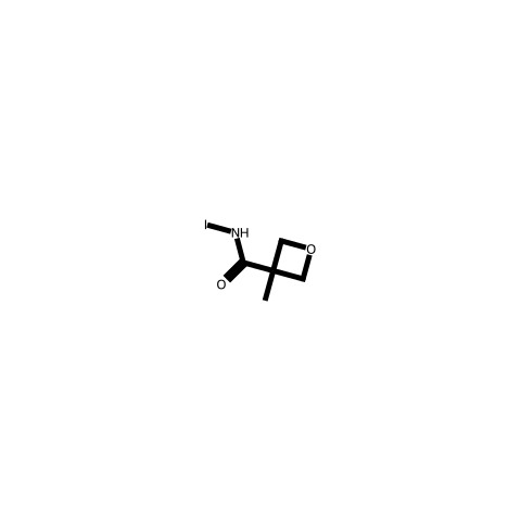 CC1(C(=O)NI)COC1